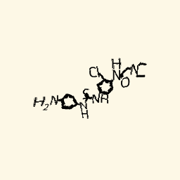 CCN(CC)CC(=O)Nc1ccc(NC(=S)Nc2ccc(N)cc2)cc1Cl